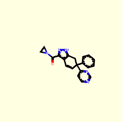 O=C(c1n[nH]c2c1C=CC(c1ccccc1)(c1ccncn1)C2)N1CC1